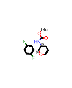 CC(C)(C)OC(=O)N[C@H]1CC=CO[C@@H]1c1cc(F)ccc1F